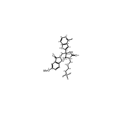 COc1ccc2c(c1)C(=O)N(C[C@@]1(c3cc4c(C)nccc4o3)NC(=O)N(COCC[Si](C)(C)C)C1=O)C2